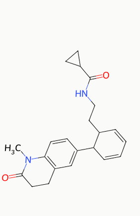 CN1C(=O)CCc2cc(C3C=CC=CC3CCNC(=O)C3CC3)ccc21